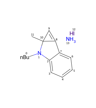 CCCCN1c2ccccc2C2=CC21C.I.N